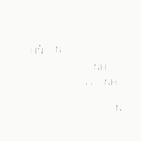 CN(CCNC(=O)Nc1ccc2nc(N[C@@H]3CCc4ccccc43)ccc2c1)C1CC1